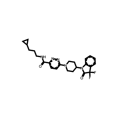 O=C(NCCCC1CC1)c1ccc(N2CCC(N3C(=O)C(F)(F)c4ccccc43)CC2)nn1